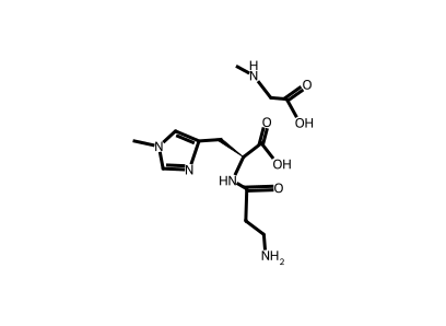 CNCC(=O)O.Cn1cnc(C[C@H](NC(=O)CCN)C(=O)O)c1